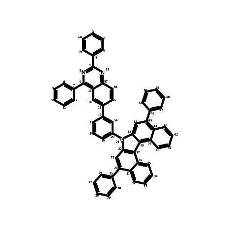 c1ccc(-c2nc(-c3ccccc3)c3cc(-c4cccc(-n5c6cc(-c7ccccc7)c7ccccc7c6c6c7ccccc7c(-c7ccccc7)cc65)c4)ccc3n2)cc1